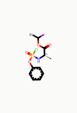 CCC(I)OC(=O)[C@H](C)NP(=O)(Cl)Oc1ccccc1